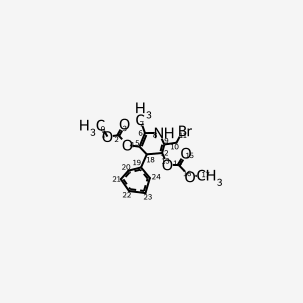 COC(=O)OC1=C(C)NC(CBr)=C(OC(=O)OC)C1c1ccccc1